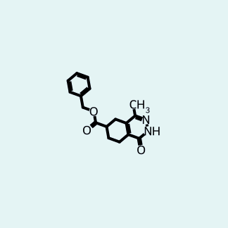 Cc1n[nH]c(=O)c2c1CC(C(=O)OCc1ccccc1)CC2